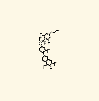 CCCCc1cc(F)c(C(F)(F)Oc2ccc(-c3ccc4c(F)c(F)c(F)cc4c3)c(F)c2)c(F)c1